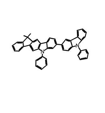 CC1(C)c2ccccc2-c2cc3c(cc21)c1ccc(-c2ccc4c(c2)c2ccccc2n4-c2ccccc2)cc1n3-c1ccccc1